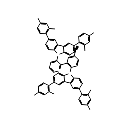 Cc1ccc(-c2ccc3c(c2)c2cc(-c4ccc(C)cc4C)ccc2n3-c2ccc(C#N)cc2-c2ncccc2-n2c3ccc(-c4ccc(C)cc4C)cc3c3cc(-c4ccc(C)cc4C)ccc32)c(C)c1